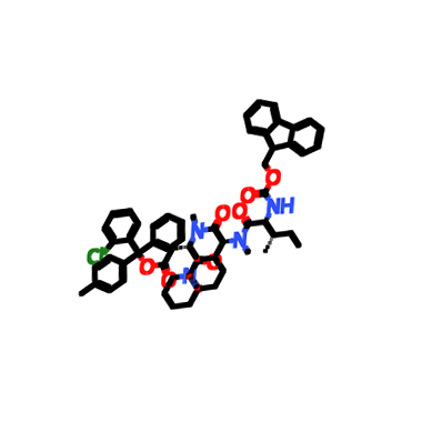 CC[C@H](C)[C@H](NC(=O)OCC1c2ccccc2-c2ccccc21)C(=O)N(C)[C@H](C(=O)N(C)[C@@H](CC(=O)OC(c1ccccc1)(c1ccc(C)cc1)c1ccccc1Cl)C(=O)N1CCCCC1)C1CCCCC1